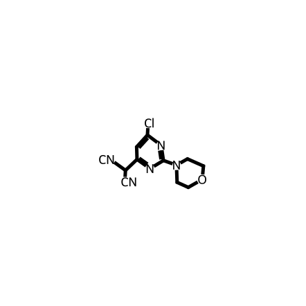 [C-]#[N+]C(C#N)c1cc(Cl)nc(N2CCOCC2)n1